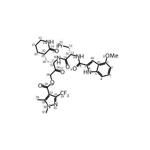 COc1cccc2[nH]c(C(=O)N[C@@H](CC(C)C)C(=O)N[C@@H](C[C@@H]3CCCNC3=O)C(=O)COC(=O)c3c(C(F)(F)F)nn(C)c3C)cc12